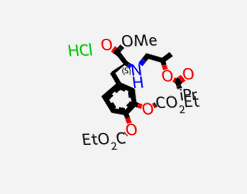 CCOC(=O)Oc1ccc(C[C@H](NCC(C)OC(=O)C(C)C)C(=O)OC)cc1OC(=O)OCC.Cl